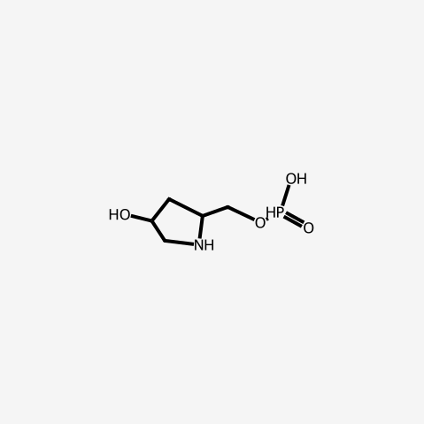 O=[PH](O)OCC1CC(O)CN1